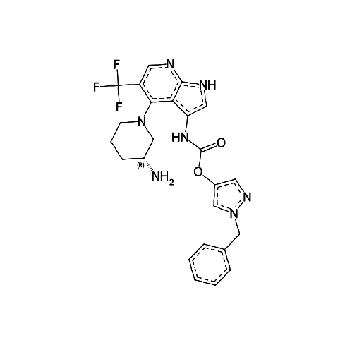 N[C@@H]1CCCN(c2c(C(F)(F)F)cnc3[nH]cc(NC(=O)Oc4cnn(Cc5ccccc5)c4)c23)C1